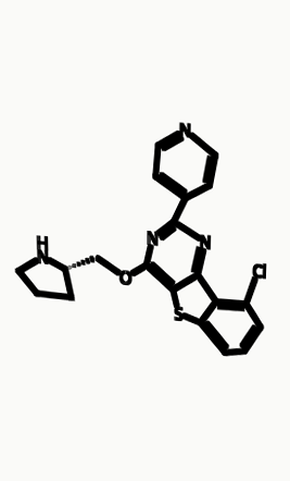 Clc1cccc2sc3c(OC[C@@H]4CCCN4)nc(-c4ccncc4)nc3c12